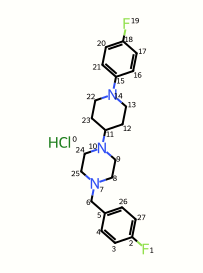 Cl.Fc1ccc(CN2CCN(C3CCN(c4ccc(F)cc4)CC3)CC2)cc1